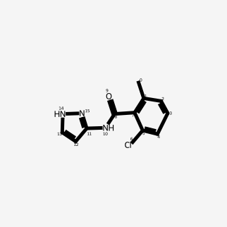 Cc1cccc(Cl)c1C(=O)Nc1cc[nH]n1